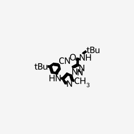 Cc1ncc(Nc2cc(C#N)cc(C(C)(C)C)c2)cc1-n1cc(C(=O)NCC(C)(C)C)nn1